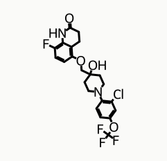 O=C1CCc2c(OCC3(O)CCN(c4ccc(OC(F)(F)F)cc4Cl)CC3)ccc(F)c2N1